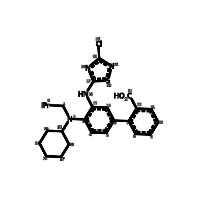 CC(C)CN(c1ccc(-c2ccccc2C(=O)O)cc1Nc1nc(Cl)ns1)C1CCCCC1